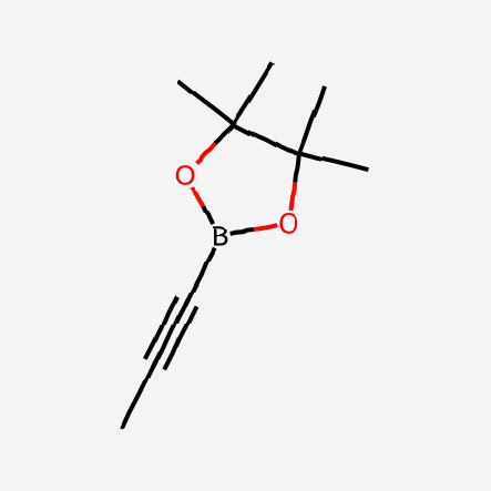 CC#CB1OC(C)(C)C(C)(C)O1